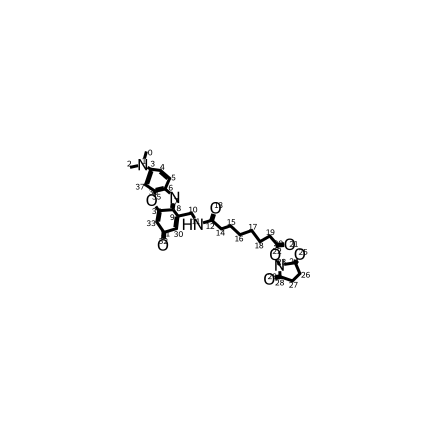 CN(C)c1ccc2nc3c(CNC(=O)CCCCCCC(=O)ON4C(=O)CCC4=O)cc(=O)cc-3oc2c1